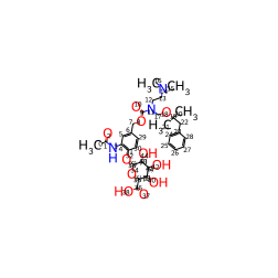 CC(=O)Nc1cc(COC(=O)N(CCN(C)C)COC(C)(C)Cc2ccccc2)ccc1O[C@@H]1O[C@H](C(=O)O)[C@@H](O)[C@H](O)[C@H]1O